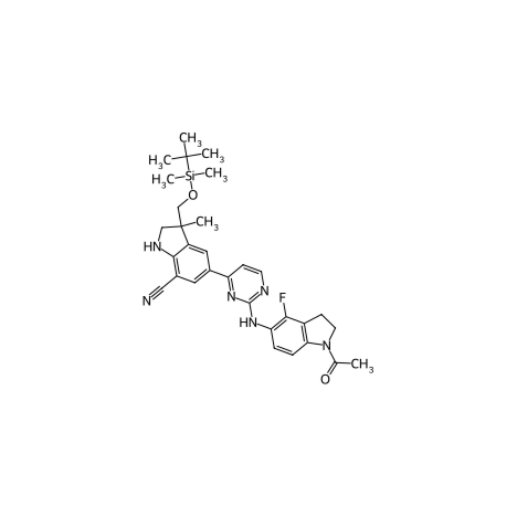 CC(=O)N1CCc2c1ccc(Nc1nccc(-c3cc(C#N)c4c(c3)C(C)(CO[Si](C)(C)C(C)(C)C)CN4)n1)c2F